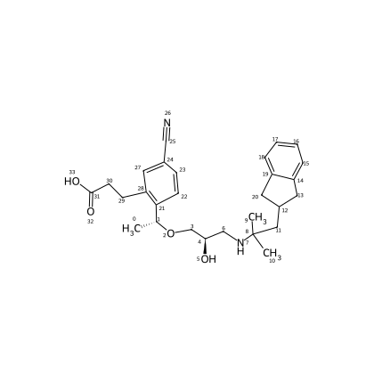 C[C@@H](OC[C@H](O)CNC(C)(C)CC1Cc2ccccc2C1)c1ccc(C#N)cc1CCC(=O)O